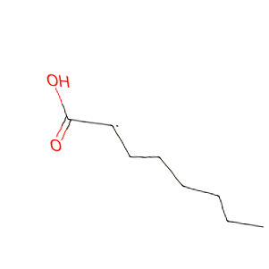 CCCCCC[CH]C(=O)O